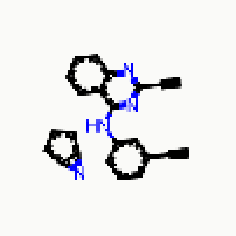 C#Cc1cccc(Nc2nc(C#C)nc3ccccc23)c1.c1cc2nc-2c1